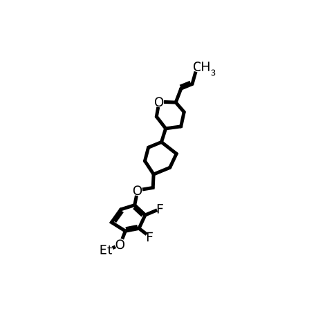 C/C=C/C1CCC(C2CCC(COc3ccc(OCC)c(F)c3F)CC2)CO1